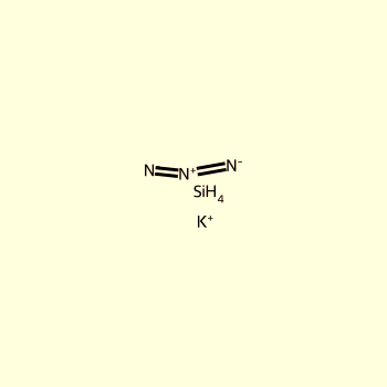 [K+].[N-]=[N+]=[N-].[SiH4]